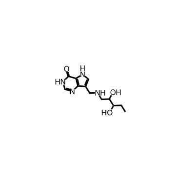 CCC(O)C(O)CNCc1c[nH]c2c(=O)[nH]cnc12